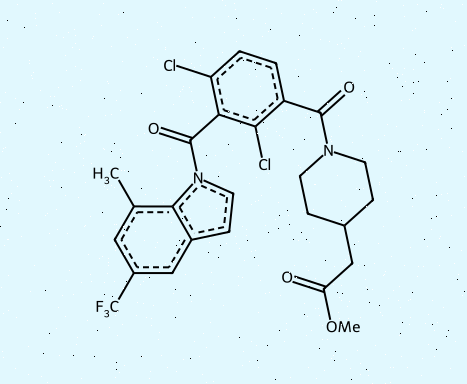 COC(=O)CC1CCN(C(=O)c2ccc(Cl)c(C(=O)n3ccc4cc(C(F)(F)F)cc(C)c43)c2Cl)CC1